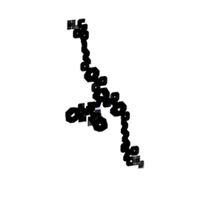 C=CC(=O)OCCCCCCOc1ccc(C(=O)Oc2ccc(OC(=O)C3=CCC(OCCCCCCOC(=O)C=C)C=C3)cc2/C=N/N(c2nc3c(s2)C=CCC3)c2nc3ccccc3s2)cc1